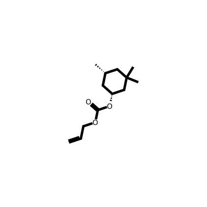 C=CCOC(=O)O[C@@H]1C[C@H](C)CC(C)(C)C1